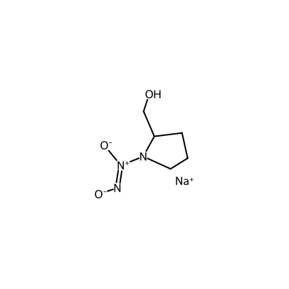 [Na+].[O-]N=[N+]([O-])N1CCCC1CO